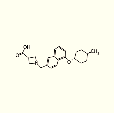 C[C@H]1CC[C@H](Oc2cccc3cc(CN4CC(C(=O)O)C4)ccc23)CC1